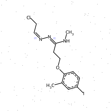 CN/C(CCOc1ccc(I)cc1C)=N/N=C\CCl